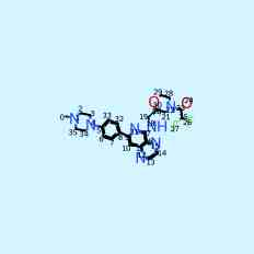 CN1CCN(c2ccc(-c3cc4nccnc4c(NC[C@@H]4CN(C(=O)C(F)F)CCO4)n3)cc2)CC1